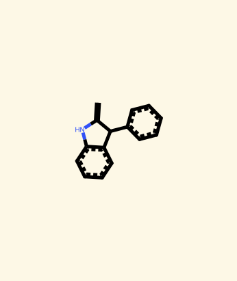 C=C1Nc2ccccc2C1c1ccccc1